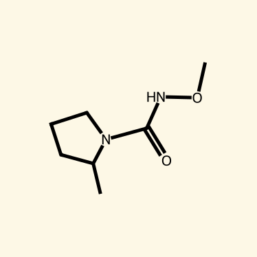 CONC(=O)N1CCCC1C